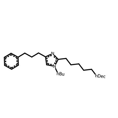 CCCCCCCCCCCCCCCc1nc(CCCc2ccccc2)cn1CCCC